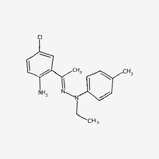 CCN(/N=C(\C)c1cc(Cl)ccc1N)c1ccc(C)cc1